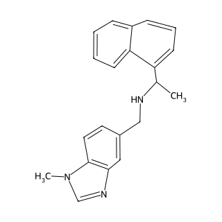 CC(NCc1ccc2c(c1)ncn2C)c1cccc2ccccc12